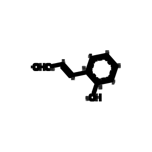 O=[C]C=Cc1ccccc1O